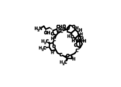 C=C1C[C@@H]2CC[C@@]34C[C@H]5O[C@H]6[C@@H](O3)[C@H]3OC(CC[C@@H]3O[C@H]6[C@H]5O4)CC(=O)C[C@@H]3[C@@H](C)[C@@H](C[C@H](O)CN)O[C@H]3CC3O[C@@H](CCC1O2)C[C@@H](C)C3=C